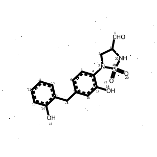 O=CC1CN(c2ccc(Cc3ccccc3O)cc2O)S(=O)(=O)N1